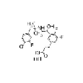 CC(C)(Cc1ccc(Cl)c(F)c1)NC[C@@H](O)c1cc(CCC(=O)O)cc(F)c1F.Cl